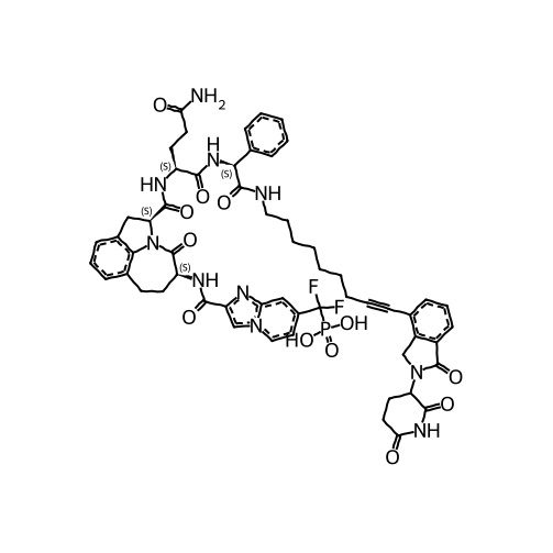 NC(=O)CC[C@H](NC(=O)[C@@H]1Cc2cccc3c2N1C(=O)[C@@H](NC(=O)c1cn2ccc(C(F)(F)P(=O)(O)O)cc2n1)CC3)C(=O)N[C@H](C(=O)NCCCCCCCC#Cc1cccc2c1CN(C1CCC(=O)NC1=O)C2=O)c1ccccc1